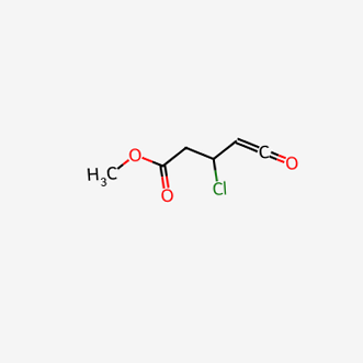 COC(=O)CC(Cl)C=C=O